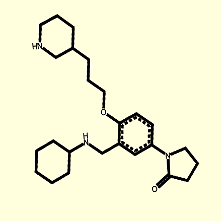 O=C1CCCN1c1ccc(OCCCC2CCCNC2)c(CNC2CCCCC2)c1